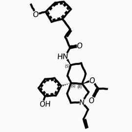 C=CCN1CC[C@@]2(c3cccc(O)c3)C[C@@H](NC(=O)C=Cc3cccc(OC)c3)CC[C@]2(OC(C)=O)C1